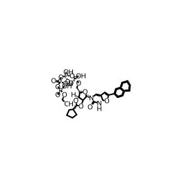 CCOP(=O)(O)OP(=O)(O)OP(=O)(O)OP(=O)(O)OC[C@H]1O[C@@H](N2C=C3C=C(c4ccc5ccccc5c4)OC3NC2=O)C2OC(C3CCCC3)O[C@H]21